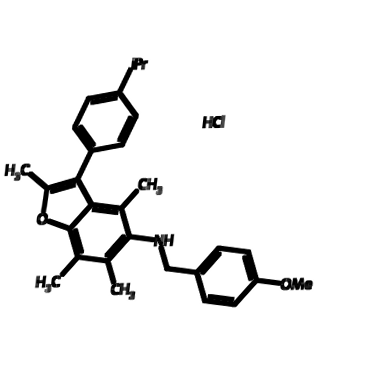 COc1ccc(CNc2c(C)c(C)c3oc(C)c(-c4ccc(C(C)C)cc4)c3c2C)cc1.Cl